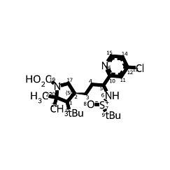 CC(C)(C)C1[C@H](CCC(N[S+]([O-])C(C)(C)C)c2cc(Cl)ccn2)CN(C(=O)O)C1(C)C